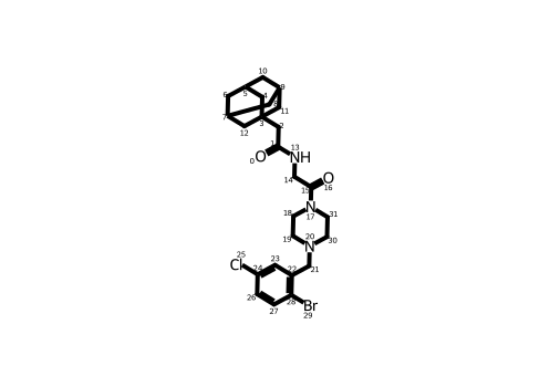 O=C(CC12CC3CC(CC(C3)C1)C2)NCC(=O)N1CCN(Cc2cc(Cl)ccc2Br)CC1